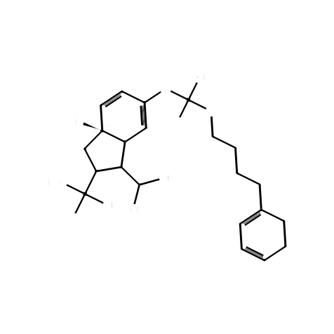 CC(C)C1C2C=C(OC(C)(C)OCCCCC3=CC=CCC3)C=C[C@H]2CC1C(C)(C)I